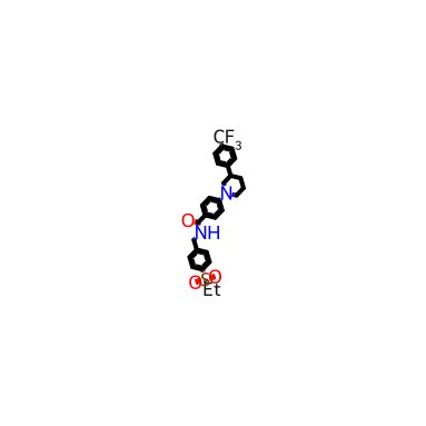 CCS(=O)(=O)c1ccc(CNC(=O)c2ccc(N3CCCC(c4ccc(C(F)(F)F)cc4)C3)cc2)cc1